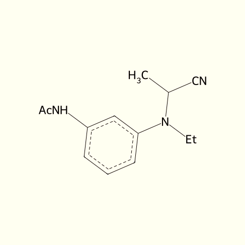 CCN(c1cccc(NC(C)=O)c1)C(C)C#N